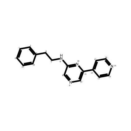 c1ccc(CCNc2cncc(-c3ccncc3)n2)cc1